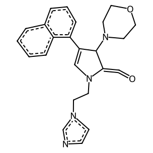 O=C=C1C(N2CCOCC2)C(c2cccc3ccccc23)=CN1CCn1ccnc1